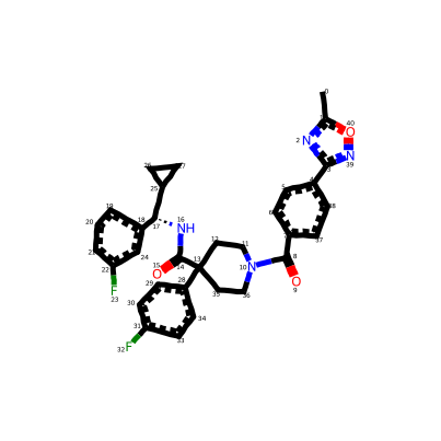 Cc1nc(-c2ccc(C(=O)N3CCC(C(=O)N[C@H](c4cccc(F)c4)C4CC4)(c4ccc(F)cc4)CC3)cc2)no1